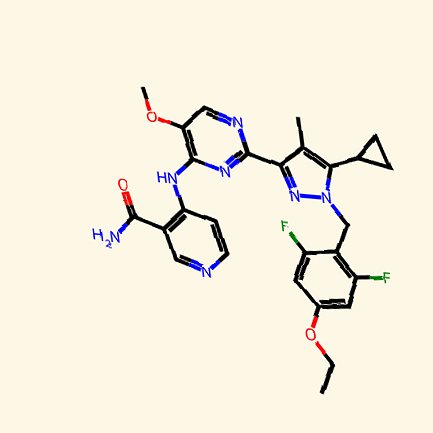 CCOc1cc(F)c(Cn2nc(-c3ncc(OC)c(Nc4ccncc4C(N)=O)n3)c(C)c2C2CC2)c(F)c1